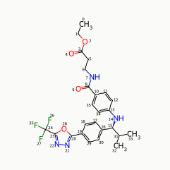 CCOC(=O)CCNC(=O)c1ccc(N[C@H](c2ccc(-c3nnc(C(F)(F)F)o3)cc2)C(C)C)cc1